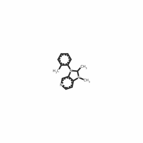 Cc1ccccc1N1c2cnccc2N(C)C1C